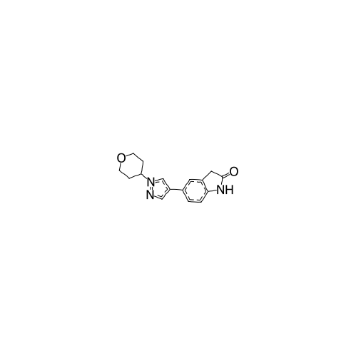 O=C1Cc2cc(-c3cnn(C4CCOCC4)c3)ccc2N1